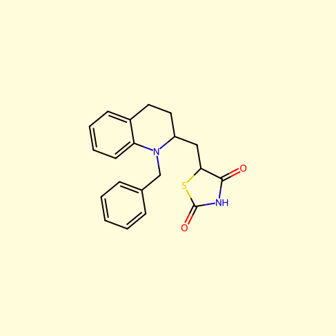 O=C1NC(=O)C(CC2CCc3ccccc3N2Cc2ccccc2)S1